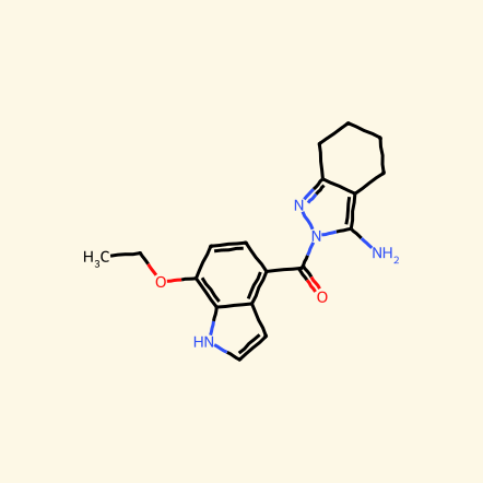 CCOc1ccc(C(=O)n2nc3c(c2N)CCCC3)c2cc[nH]c12